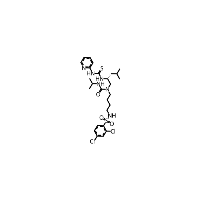 CC(C)C[C@H](CN(CCCCNS(=O)(=O)c1ccc(Cl)cc1Cl)C(=O)NC(C)C)NC(=S)Nc1ccccn1